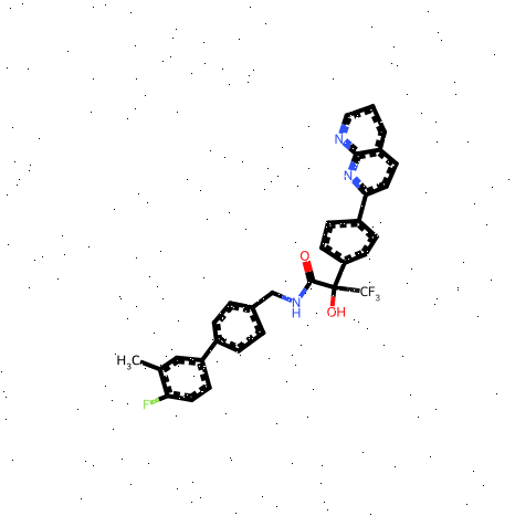 Cc1cc(-c2ccc(CNC(=O)C(O)(c3ccc(-c4ccc5cccnc5n4)cc3)C(F)(F)F)cc2)ccc1F